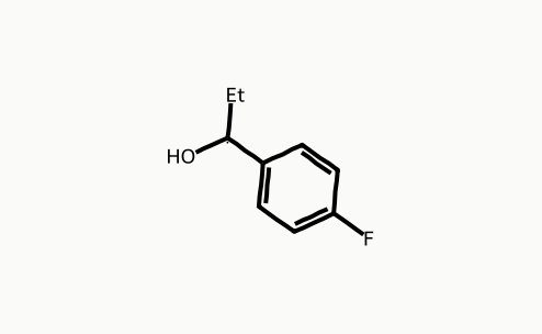 CC[C](O)c1ccc(F)cc1